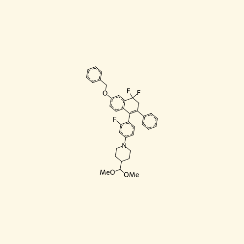 COC(OC)C1CCN(c2ccc(C3=C(c4ccccc4)CC(F)(F)c4cc(OCc5ccccc5)ccc43)c(F)c2)CC1